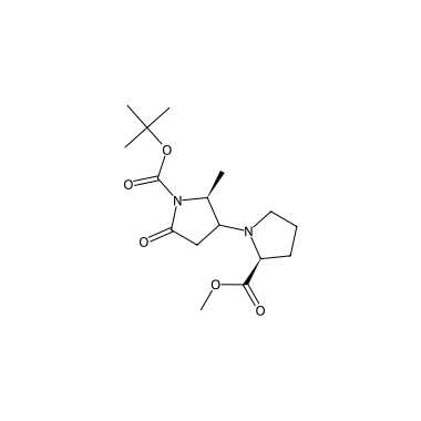 COC(=O)[C@@H]1CCCN1C1CC(=O)N(C(=O)OC(C)(C)C)[C@H]1C